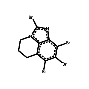 Brc1c(Br)c2c3c(nc(Br)n3CCC2)c1Br